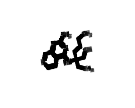 CCCC[C@](CC)(CO)Nc1nc(N)nc2cnccc12